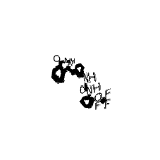 O=C(Nc1cccc(Cc2n[nH]c(=O)c3ccccc23)c1)Nc1ccccc1OC(F)(F)F